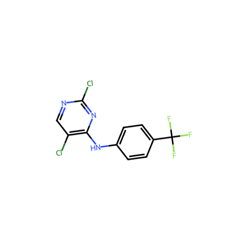 FC(F)(F)c1ccc(Nc2nc(Cl)ncc2Cl)cc1